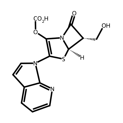 O=C(O)OC1=C(n2ccc3cccnc32)S[C@@H]2[C@@H](CO)C(=O)N12